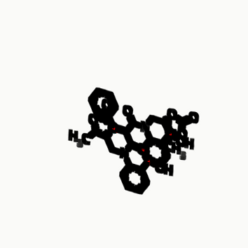 Cc1oc(=O)oc1CN(C(=O)C(=Cc1ccccc1)C(=O)N(Cc1oc(=O)oc1C)c1ccccc1C(=O)O)c1ccccc1C(=O)O